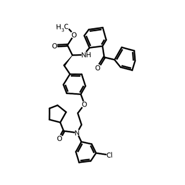 COC(=O)[C@H](Cc1ccc(OCCN(C(=O)C2CCCC2)c2cccc(Cl)c2)cc1)Nc1ccccc1C(=O)c1ccccc1